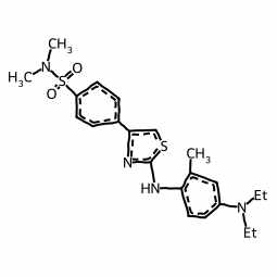 CCN(CC)c1ccc(Nc2nc(-c3ccc(S(=O)(=O)N(C)C)cc3)cs2)c(C)c1